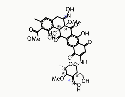 COC(=O)c1c(C)cc2c(c1O)[C@]1(O)C(=O)c3cc4c(c(O)c3C(=O)[C@]1(OC)/C(=N/O)C2)C(=O)C=C(N[C@H]1O[C@@H](C)[C@H](OC)/C(=N/O)[C@H]1CO)C4=O